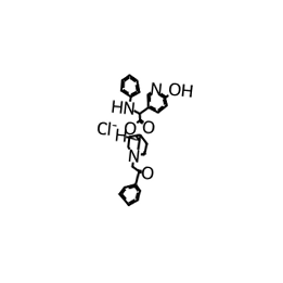 O=C(C[N+]12CCC(CC1)[C@@H](OC(=O)C(Nc1ccccc1)c1ccc(O)nc1)C2)c1ccccc1.[Cl-]